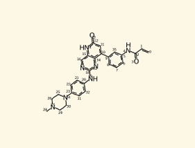 C=CC(=O)Nc1cccc(-c2cc(=O)[nH]c3cnc(Nc4ccc(N5CCN(C)CC5)cc4)nc23)c1